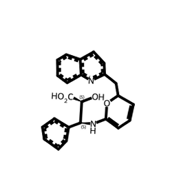 O=C(O)[C@@H](O)[C@@H](NC1=CC=CC(Cc2ccc3ccccc3n2)O1)c1ccccc1